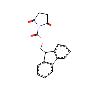 O=C1[CH]CC(=O)N1C(=O)OCC1c2ccccc2-c2ccccc21